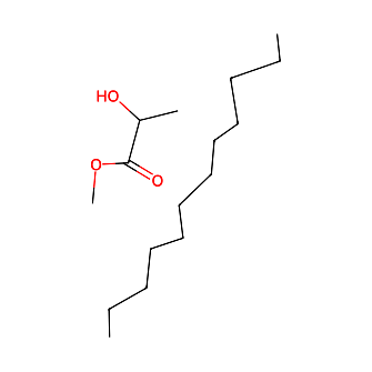 CCCCCCCCCCCC.COC(=O)C(C)O